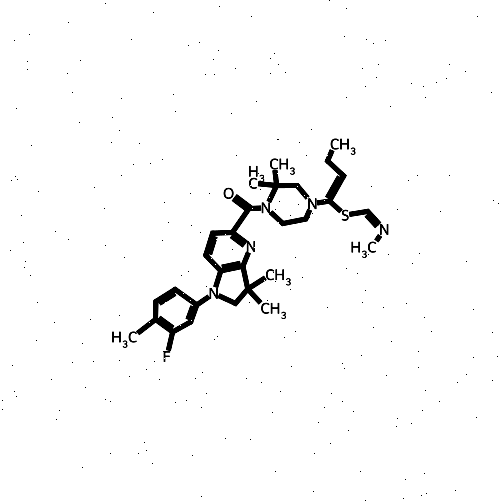 CC/C=C(/S/C=N\C)N1CCN(C(=O)c2ccc3c(n2)C(C)(C)CN3c2ccc(C)c(F)c2)C(C)(C)C1